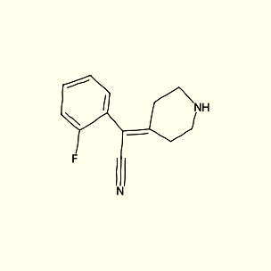 N#CC(=C1CCNCC1)c1ccccc1F